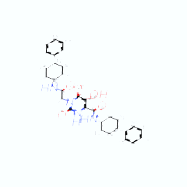 O=C(Cn1c(=O)[nH]c(C(=O)N[C@H]2CC[C@@H](c3ccccc3)CC2)c(O)c1=O)N[C@H]1CC[C@@H](c2ccccc2)CC1